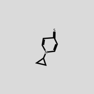 S=c1ccn(C2CC2)cc1